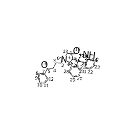 C[N+]1(CCCC(=O)c2ccccc2)CCC(C(C(N)=O)(c2ccccc2)c2ccccc2)C1